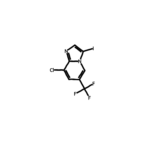 FC(F)(F)c1cc(Cl)c2ncc(I)n2c1